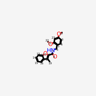 COc1ccc(CNC(=O)c2oc3ccccc3c2C)c(OC)c1